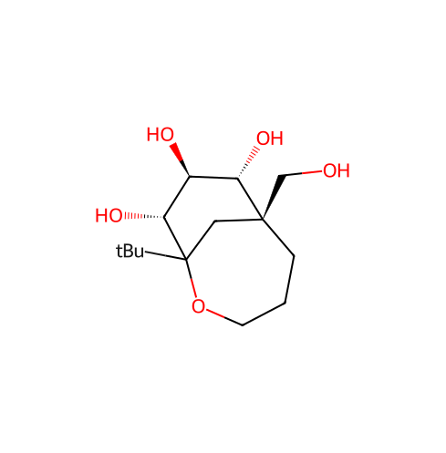 CC(C)(C)C12C[C@@](CO)(CCCO1)[C@@H](O)[C@H](O)[C@H]2O